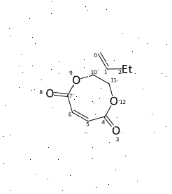 C=CCC.O=C1C=CC(=O)OCCO1